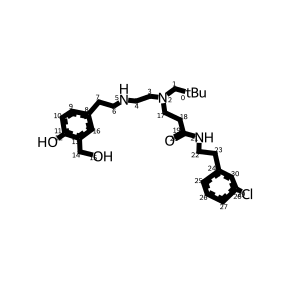 CC(C)(C)CN(CCNCCc1ccc(O)c(CO)c1)CCC(=O)NCCc1cccc(Cl)c1